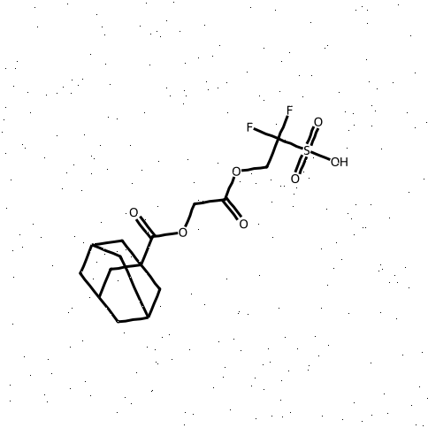 O=C(COC(=O)C12CC3CC(CC(C3)C1)C2)OCC(F)(F)S(=O)(=O)O